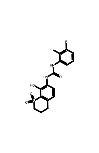 O=C(Nc1ccc2c(c1O)S(=O)(=O)CCC2)Nc1cccc(F)c1Cl